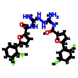 N=C(NNC(N)=NC(=O)c1ccc(-c2cc(F)ccc2F)o1)NC(=O)c1ccc(-c2cccc(F)c2F)o1